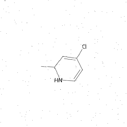 C[C]1C=C(Cl)C=CN1